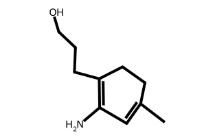 CC1=CC(N)=C(CCCO)CC1